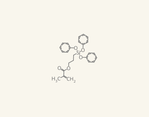 C=C(C)C(=O)OCCC[Si](Oc1ccccc1)(Oc1ccccc1)Oc1ccccc1